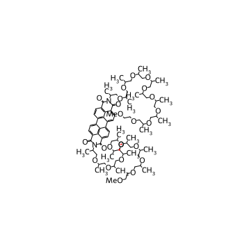 COCCOCC(C)OCC(C)OCC(C)OCC(C)OCC(C)OCC(C)OCC(C)OCC(C)OCC(C)N1C(=O)c2ccc3c4ccc5c6c(ccc(c7ccc(c2c37)C1=O)c64)C(=O)N(C(C)COC(C)COC(C)COC(C)COC(C)COC(C)COC(C)COC(C)COC(C)COCCOC)C5=O